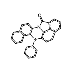 O=C1c2cccc3ccc4c(c23)N1c1ccc2ccccc2c1B4c1ccccc1